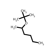 CCCCC(C)OC(C)(C)C